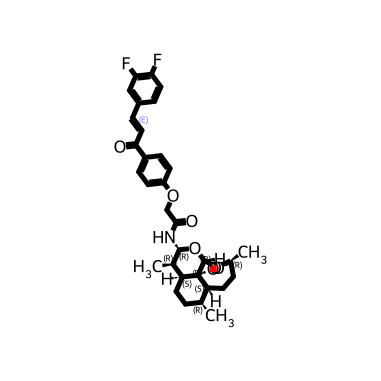 C[C@H]1[C@H](NC(=O)COc2ccc(C(=O)/C=C/c3ccc(F)c(F)c3)cc2)O[C@@H]2O[C@@]3(C)CC[C@H]4[C@H](C)CC[C@@H]1[C@@]24OO3